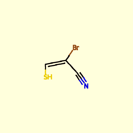 N#C/C(Br)=C\S